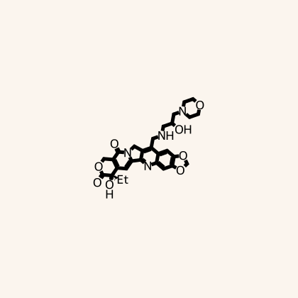 CC[C@@]1(O)C(=O)OCc2c1cc1n(c2=O)Cc2c-1nc1cc3c(cc1c2CNCC(O)CN1CCOCC1)OCO3